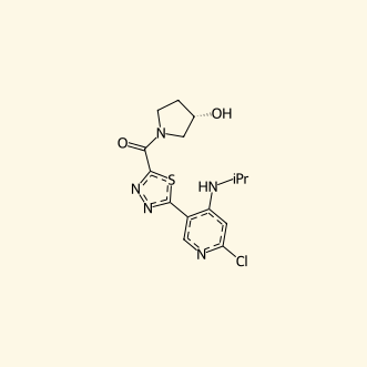 CC(C)Nc1cc(Cl)ncc1-c1nnc(C(=O)N2CC[C@H](O)C2)s1